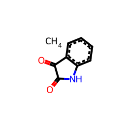 C.O=C1Nc2ccccc2C1=O